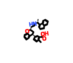 Cc1ccc([C@H]2C[C@@H](CCN[C@H](C)c3cccc4ccccc34)Oc3ccccc32)cc1C(=O)O